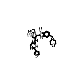 Cl.c1cc(Nc2c[nH]nc2-c2nc3cc(CN4CCOCC4)ccc3[nH]2)nc(-c2ccsc2)n1